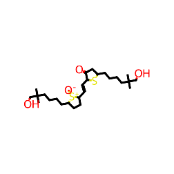 CC(C)(CO)CCCCC1CC(=O)C(C=CC2CCC(CCCCC(C)(C)CO)[S+]2[O-])S1